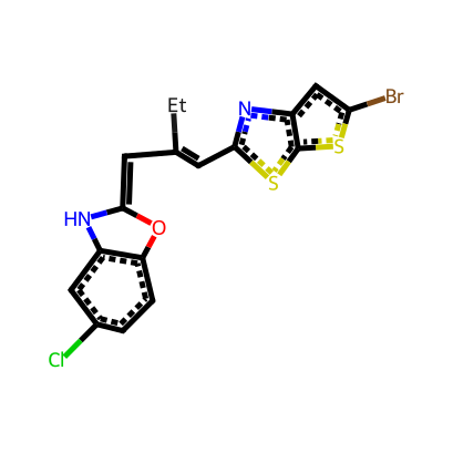 CCC(=Cc1nc2cc(Br)sc2s1)C=C1Nc2cc(Cl)ccc2O1